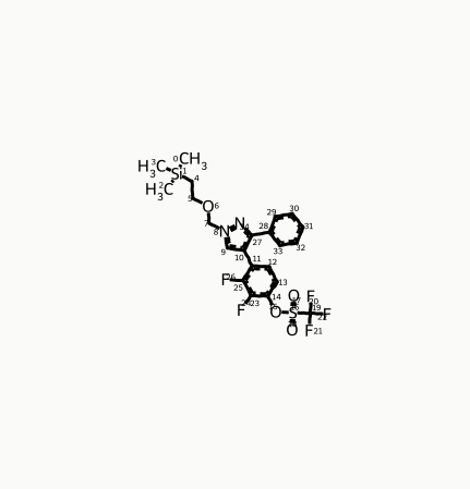 C[Si](C)(C)CCOCn1cc(-c2ccc(OS(=O)(=O)C(F)(F)F)c(F)c2F)c(-c2ccccc2)n1